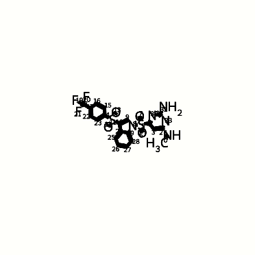 CNc1cc(S(=O)(=O)n2cc(S(=O)(=O)c3ccc(C(F)(F)F)cc3)c3ccccc32)nc(N)n1